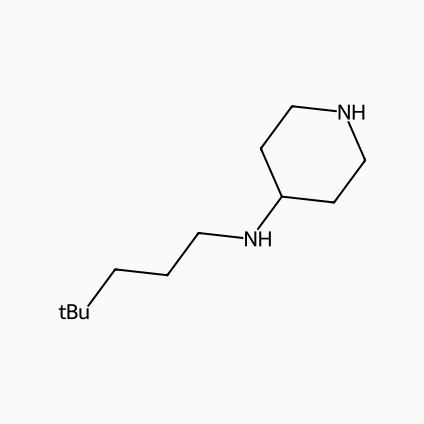 CC(C)(C)CCCNC1CCNCC1